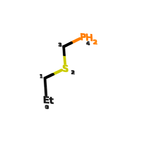 CCCSCP